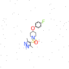 Cc1nn(C)c(C)c1[S+]([O-])N1CCC(Oc2ccc(F)cc2)CC1